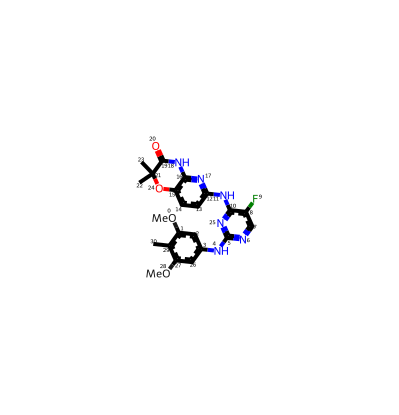 COc1cc(Nc2ncc(F)c(Nc3ccc4c(n3)NC(=O)C(C)(C)O4)n2)cc(OC)c1C